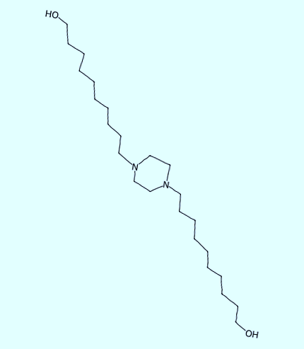 OCCCCCCCCCCN1CCN(CCCCCCCCCCO)CC1